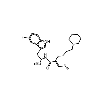 C=N/C=C(\SCCCN1CCCCC1)C(=O)NC(CCCC)Cc1c[nH]c2ccc(F)cc12